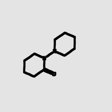 O=C1CCCCN1N1CCCCC1